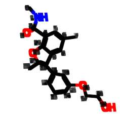 CNC(=O)c1cc(C)cc2c(-c3cccc(OCCO)c3)c(C)oc12